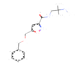 CNC(C)(C)CNC(=O)c1cc(COCc2ccccc2)on1